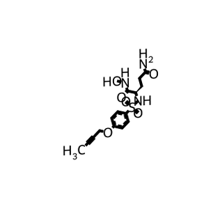 CC#CCOc1ccc(S(=O)(=O)N[C@H](CCC(N)=O)C(=O)NO)cc1